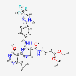 CCOC(CCCNC(=O)c1cnc(-c2c(OC)ncnc2C2CC2)nc1NCc1ccc(-c2nc(C(F)(F)F)cn2C)cc1)OCC